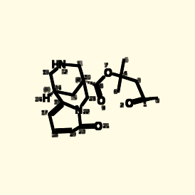 CC(=O)CC(C)(C)OC(=O)[C@@]12CNC[C@@H](C1)c1cccc(=O)n1C2